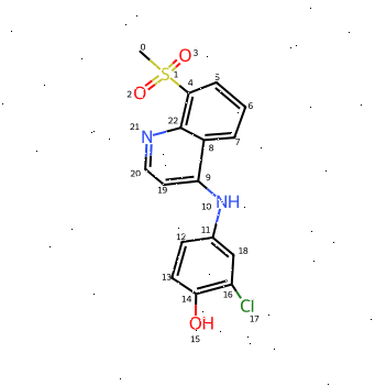 CS(=O)(=O)c1cccc2c(Nc3ccc(O)c(Cl)c3)ccnc12